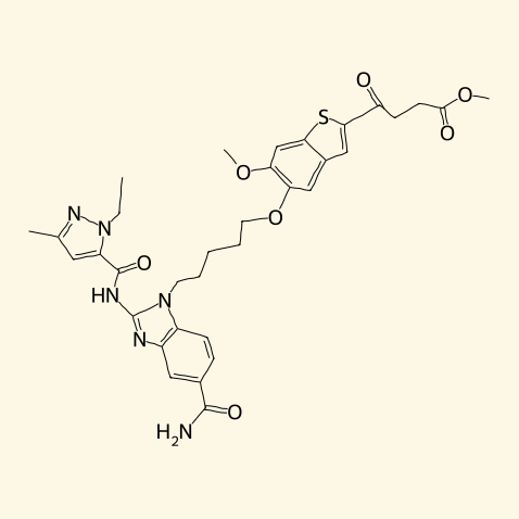 CCn1nc(C)cc1C(=O)Nc1nc2cc(C(N)=O)ccc2n1CCCCCOc1cc2cc(C(=O)CCC(=O)OC)sc2cc1OC